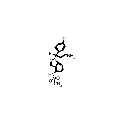 CCC(CCN)(c1ccc(Cl)cc1)n1ncc2c(NS(C)(=O)=O)cccc21